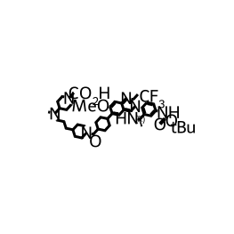 COc1cc2nc(C)nc(N[C@H](C)c3cc(NC(=O)OC(C)(C)C)cc(C(F)(F)F)c3)c2cc1C1CCC(C(=O)N2CCC(CCCN(C)C3CCN(C(=O)O)CC3)CC2)CC1